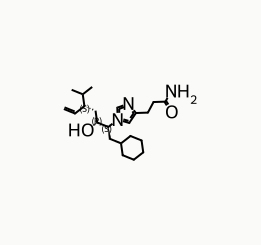 C=C[C@@H](C[C@@H](O)[C@H](CC1CCCCC1)n1cnc(CCC(N)=O)c1)C(C)C